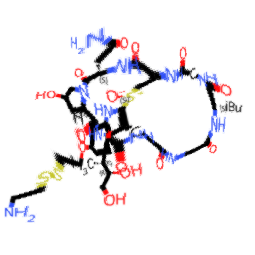 CC[C@H](C)C1NC(=O)CNC(=O)C2Cc3c([nH]c4cc(OCCSSCCN)ccc34)[S@+]([O-])CC(NC(=O)CNC1=O)C(=O)N[C@@H](CC(N)=O)C(=O)N1CC(O)C[C@H]1C(=O)N[C@@H]([C@@H](C)[C@@H](O)CO)C(=O)N2